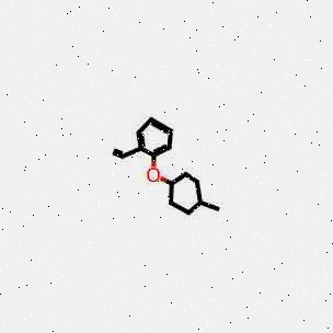 C=Cc1ccccc1OC1CCC(C)CC1